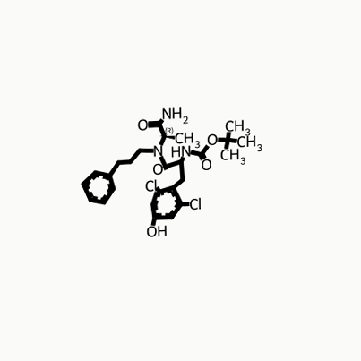 C[C@H](C(N)=O)N(CCCc1ccccc1)C(=O)C(Cc1c(Cl)cc(O)cc1Cl)NC(=O)OC(C)(C)C